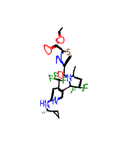 CCOC(=O)c1nc(C(=O)N2C(C)CC(F)(F)C2c2cnc(N[C@@H](C)C3CC3)cc2C(F)(F)F)cs1